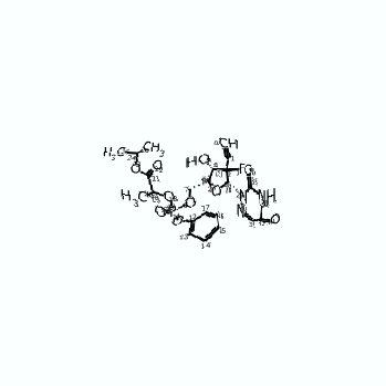 C#CC1(F)[C@@H](O)[C@@H](CO[P@](=O)(Oc2ccccc2)O[C@@H](C)C(=O)OC(C)C)O[C@H]1n1ncc(=O)[nH]c1=O